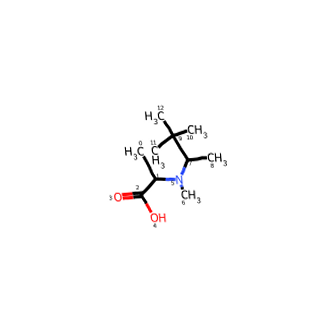 CC(C(=O)O)N(C)C(C)C(C)(C)C